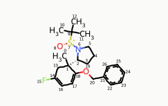 CC1([C@H]2CCCN2[S@@+]([O-])C(C)(C)C)CC(F)=CC=C1OCc1ccccc1